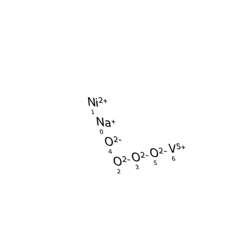 [Na+].[Ni+2].[O-2].[O-2].[O-2].[O-2].[V+5]